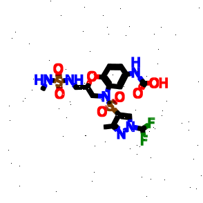 CNS(=O)(=O)NCC1CN(S(=O)(=O)c2cn(C(F)F)nc2C)c2cc(NC(=O)O)ccc2O1